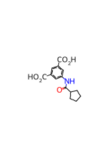 O=C(O)c1cc(NC(=O)C2CCCC2)cc(C(=O)O)c1